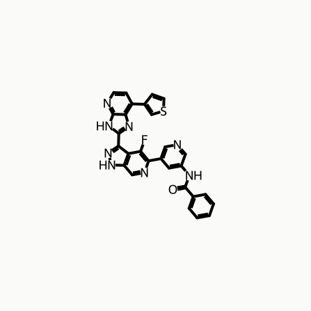 O=C(Nc1cncc(-c2ncc3[nH]nc(-c4nc5c(-c6ccsc6)ccnc5[nH]4)c3c2F)c1)c1ccccc1